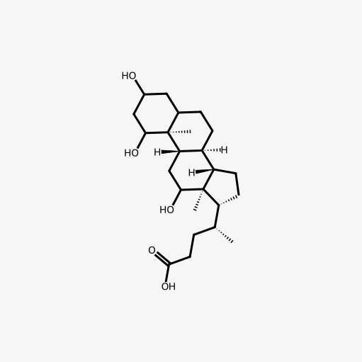 C[C@H](CCC(=O)O)[C@H]1CC[C@H]2[C@@H]3CCC4CC(O)CC(O)[C@]4(C)[C@H]3CC(O)[C@]12C